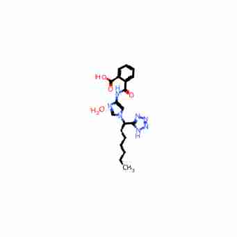 CCCCCCC(c1nnn[nH]1)n1cnc(NC(=O)c2ccccc2C(=O)O)c1.O